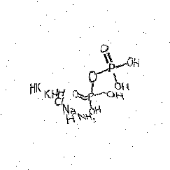 Cl.N.O=P(O)(O)OP(=O)(O)O.[KH].[KH].[NaH]